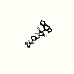 O=C1N[C@@H](Cc2cccc(Nc3cc[nH]n3)c2)C(=O)N1c1c2c(cc3c1CCC3)CCC2